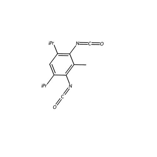 Cc1c(N=C=O)c(C(C)C)cc(C(C)C)c1N=C=O